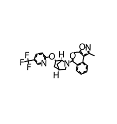 Cc1noc(C)c1-c1ccccc1C(=O)N1C[C@H]2C[C@@H](Oc3ccc(C(F)(F)F)cn3)[C@@H]1C2